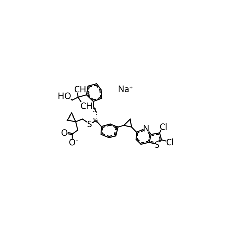 CC(C)(CO)c1ccccc1CC[C@@H](SCC1(CC(=O)[O-])CC1)c1cccc(C2CC2c2ccc3sc(Cl)c(Cl)c3n2)c1.[Na+]